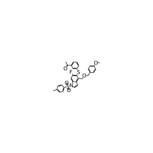 COc1ccc(COCc2c(Sc3cccc(C(C)=O)c3)c(F)cc3c2ccn3S(=O)(=O)c2ccc(C)cc2)cc1